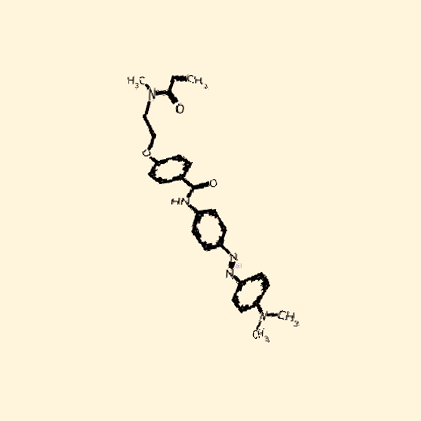 C=CC(=O)N(C)CCOc1ccc(C(=O)Nc2ccc(/N=N/c3ccc(N(C)C)cc3)cc2)cc1